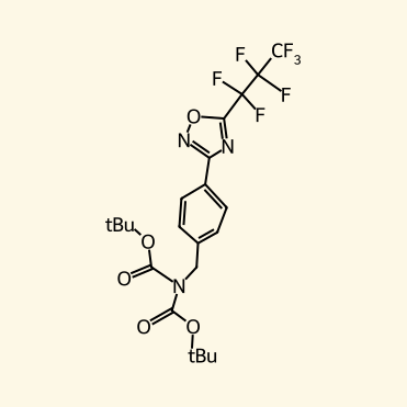 CC(C)(C)OC(=O)N(Cc1ccc(-c2noc(C(F)(F)C(F)(F)C(F)(F)F)n2)cc1)C(=O)OC(C)(C)C